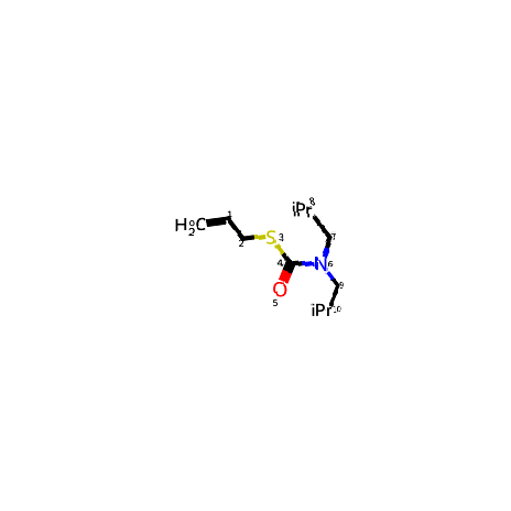 C=CCSC(=O)N(CC(C)C)CC(C)C